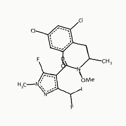 CON(C(=O)c1c(C(F)I)nn(C)c1F)C(C)Cc1c(Cl)cc(Cl)cc1Cl